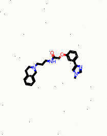 Cn1cnc(-c2cccc(OCC(=O)NCCCN3CCc4ccccc4C3)c2)c1